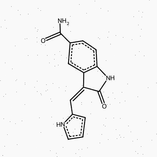 NC(=O)c1ccc2c(c1)/C(=C/c1ccc[nH]1)C(=O)N2